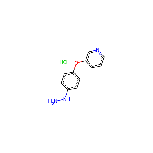 Cl.NNc1ccc(Oc2cccnc2)cc1